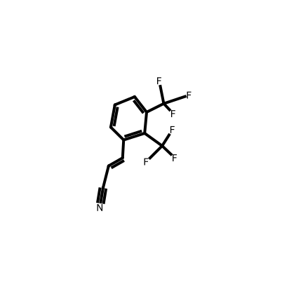 N#CC=Cc1cccc(C(F)(F)F)c1C(F)(F)F